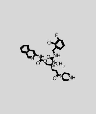 CN(C(=O)NCc1cccc(F)c1Cl)[C@@H](CCC(=O)N1C[CH]NCC1)COC(=O)Nc1cc2ccccc2cn1